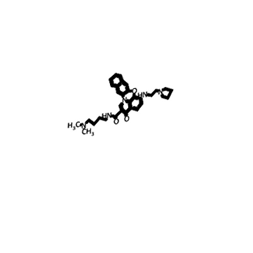 CN(C)CCCCNC(=O)c1cn2c3c(c(NCCN4CCCC4)ccc3c1=O)Oc1cc3ccccc3cc1-2